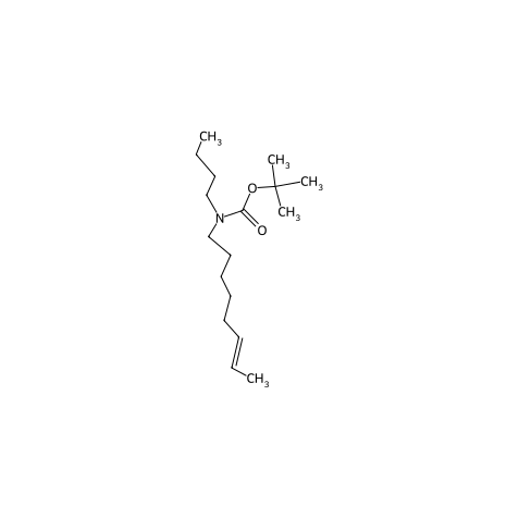 CC=CCCCCCN(CCCC)C(=O)OC(C)(C)C